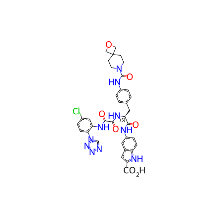 O=C(Nc1cc(Cl)ccc1-n1cnnn1)C(=O)N[C@@H](Cc1ccc(NC(=O)N2CCC3(CC2)COC3)cc1)C(=O)Nc1ccc2[nH]c(C(=O)O)cc2c1